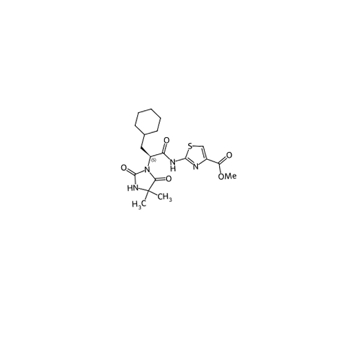 COC(=O)c1csc(NC(=O)[C@H](CC2CCCCC2)N2C(=O)NC(C)(C)C2=O)n1